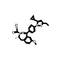 CCc1cc(C2CC2)n(-c2ccc(C3=NN(C(=O)NC)[C@@H](C)Cc4ccc(OC)cc43)cc2)n1